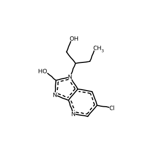 CCC(CO)n1c(O)nc2ncc(Cl)cc21